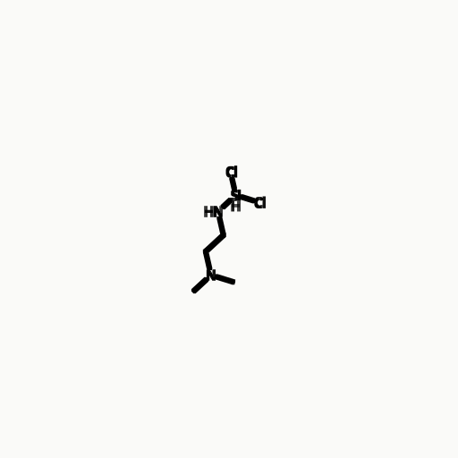 CN(C)CCN[SiH](Cl)Cl